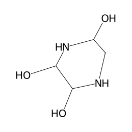 OC1CNC(O)C(O)N1